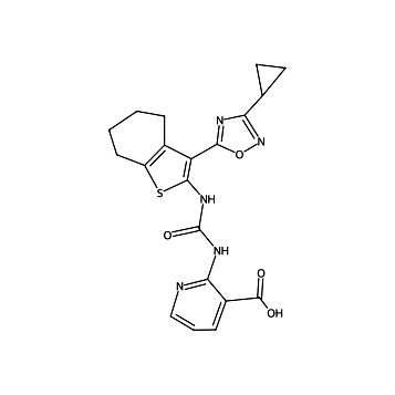 O=C(Nc1ncccc1C(=O)O)Nc1sc2c(c1-c1nc(C3CC3)no1)CCCC2